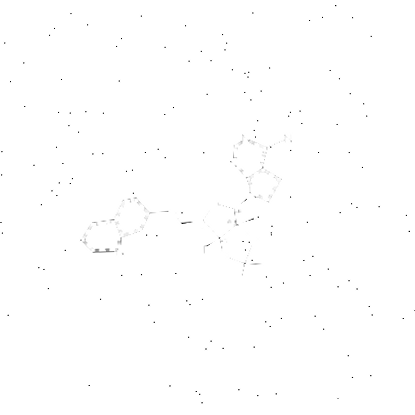 CC1(C)O[C@@H]2[C@H](O1)[C@@H](CSc1ccc3cccnc3c1)O[C@H]2n1ccc2c(N)ncnc21